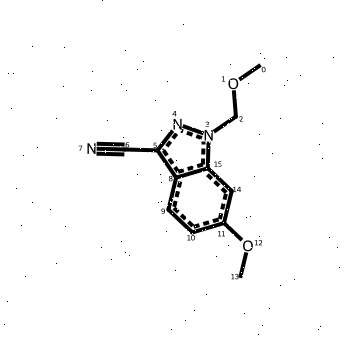 COCn1nc(C#N)c2ccc(OC)cc21